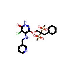 CS(=O)(=O)C(COc1n[nH]c(=O)c(Cl)c1NCc1cccnc1)(Cc1ccccc1)S(C)(=O)=O